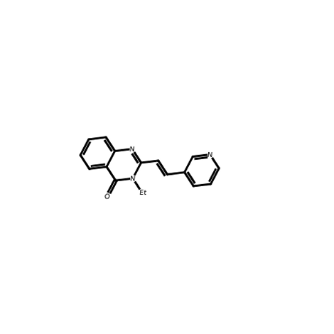 CCn1c(/C=C/c2cccnc2)nc2ccccc2c1=O